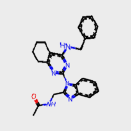 CC(=O)NCc1nc2ccccc2n1-c1nc2c(c(NCc3ccccc3)n1)CCCC2